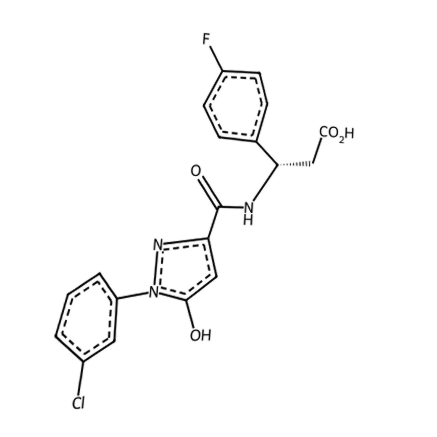 O=C(O)C[C@H](NC(=O)c1cc(O)n(-c2cccc(Cl)c2)n1)c1ccc(F)cc1